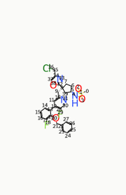 CS(=O)(=O)N[C@H]1CC[C@](Cc2cc(-c3cccc(F)c3OCc3ccccc3)c(F)cn2)(c2nc(CCl)co2)C1